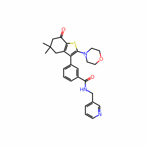 CC1(C)CC(=O)c2sc(N3CCOCC3)c(-c3cccc(C(=O)NCc4cccnc4)c3)c2C1